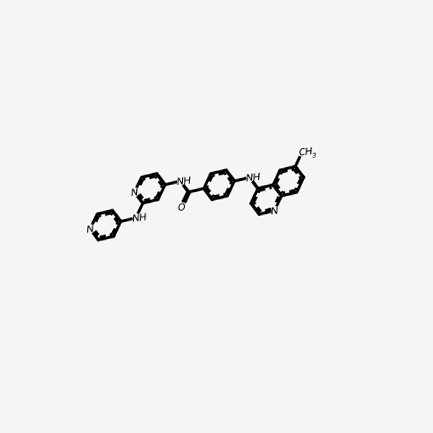 Cc1ccc2nccc(Nc3ccc(C(=O)Nc4ccnc(Nc5ccncc5)c4)cc3)c2c1